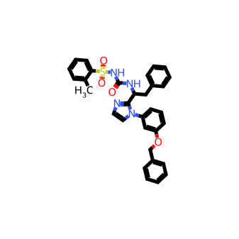 Cc1ccccc1S(=O)(=O)NC(=O)NC(Cc1ccccc1)c1nccn1-c1cccc(OCc2ccccc2)c1